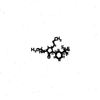 CCCC1CC(NCC)C(=O)C1c1cccc(C(F)(F)F)c1